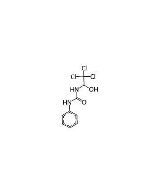 O=C(Nc1ccccc1)NC(O)C(Cl)(Cl)Cl